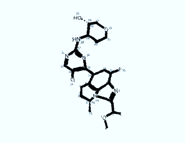 COC(C)C1=NC2C3=C(CC[C@H](C)N13)C(c1nc(NC3CCOC[C@H]3O)ncc1Cl)CC2F